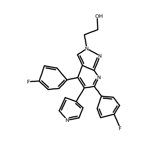 OCCn1cc2c(-c3ccc(F)cc3)c(-c3ccncc3)c(-c3ccc(F)cc3)nc2n1